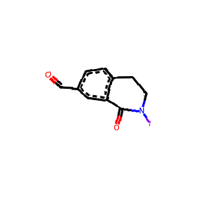 O=Cc1ccc2c(c1)C(=O)N(I)CC2